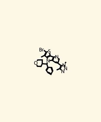 Cc1nnn(C)c1-c1cnc2c3sc(Br)c(C)c3n(C(c3ccccc3)C3CCOCC3)c2c1